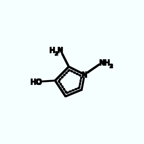 Nc1c(O)ccn1N